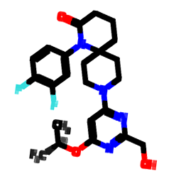 C[C@@H](Oc1cc(N2CCC3(CCCC(=O)N3c3ccc(F)c(F)c3)CC2)nc(CO)n1)C(F)(F)F